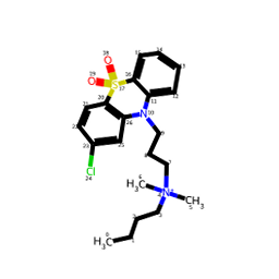 CCCC[N+](C)(C)CCCN1c2ccccc2S(=O)(=O)c2ccc(Cl)cc21